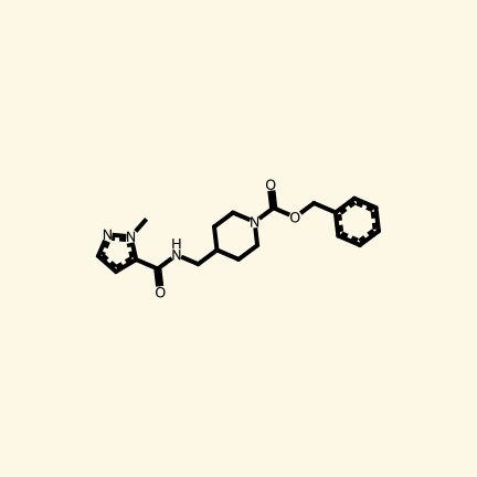 Cn1nccc1C(=O)NCC1CCN(C(=O)OCc2ccccc2)CC1